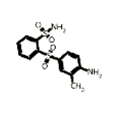 Cc1cc(S(=O)(=O)c2ccccc2S(N)(=O)=O)ccc1N